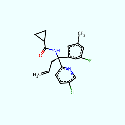 C=CC[C@@](NC(=O)C1CC1)(c1cc(F)cc(C(F)(F)F)c1)c1ccc(Cl)cn1